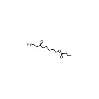 CCCC(=O)OCCCCCC(=O)CCS